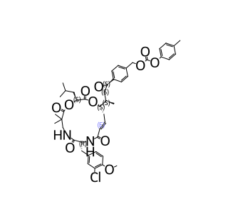 COc1ccc(C[C@H]2NC(=O)/C=C/C[C@@H]([C@H](C)[C@@H]3O[C@H]3c3ccc(COC(=O)Oc4ccc(C)cc4)cc3)OC(=O)[C@H](CC(C)C)OC(=O)C(C)(C)CNC2=O)cc1Cl